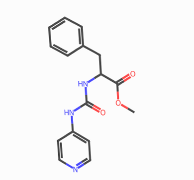 COC(=O)C(Cc1ccccc1)NC(=O)Nc1ccncc1